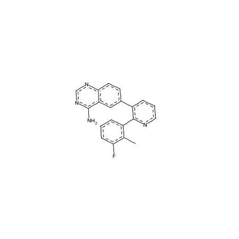 Cc1c(F)cccc1-c1ncccc1-c1ccc2ncnc(N)c2c1